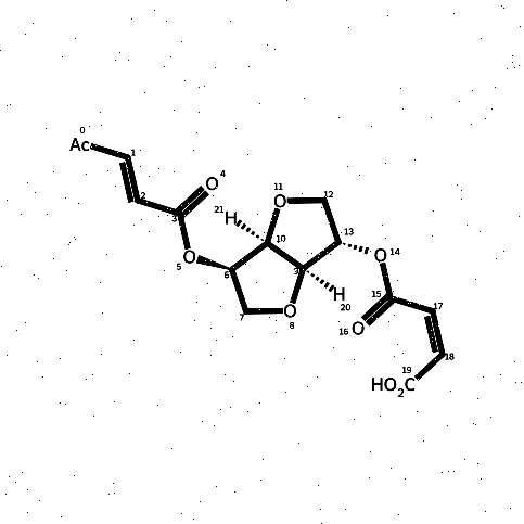 CC(=O)/C=C/C(=O)O[C@@H]1CO[C@H]2[C@@H]1OC[C@@H]2OC(=O)/C=C\C(=O)O